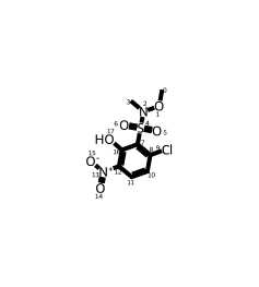 CON(C)S(=O)(=O)c1c(Cl)ccc([N+](=O)[O-])c1O